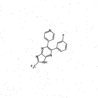 Fc1cccc(-c2nc3[nH]c(C(F)(F)F)nc3nc2-c2ccncc2)c1